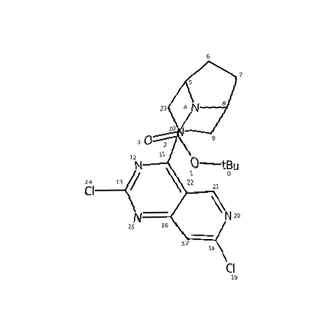 CC(C)(C)OC(=O)N1C2CCC1CN(c1nc(Cl)nc3cc(Cl)ncc13)C2